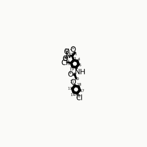 O=CC(c1ccc(NC(=O)COc2ccc(Cl)cc2)cc1Cl)[N+](=O)[O-]